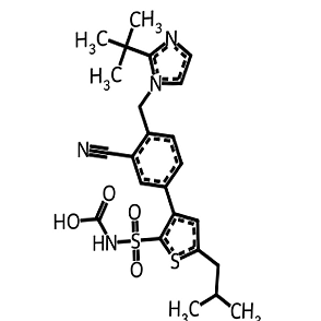 CC(C)Cc1cc(-c2ccc(Cn3ccnc3C(C)(C)C)c(C#N)c2)c(S(=O)(=O)NC(=O)O)s1